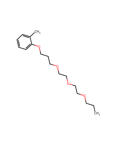 CCCOCCOCCOCCCOc1ccccc1C